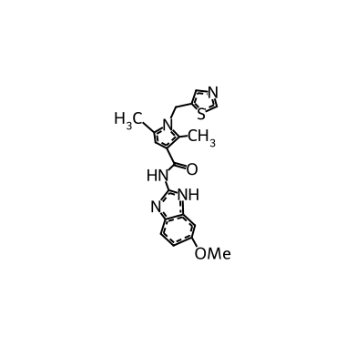 COc1ccc2nc(NC(=O)c3cc(C)n(Cc4cncs4)c3C)[nH]c2c1